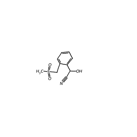 CS(=O)(=O)Cc1ccccc1C(O)C#N